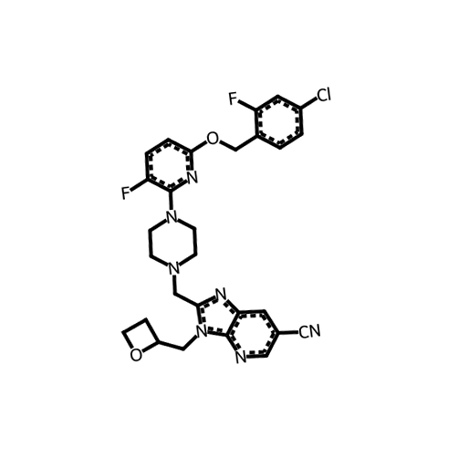 N#Cc1cnc2c(c1)nc(CN1CCN(c3nc(OCc4ccc(Cl)cc4F)ccc3F)CC1)n2CC1CCO1